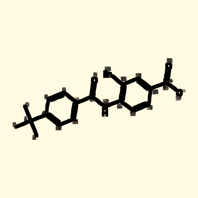 CC(C)(C)c1ccc(C(=O)Nc2ccc([N+](=O)[O-])cc2Br)cc1